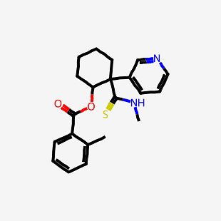 CNC(=S)C1(c2cccnc2)CCCCC1OC(=O)c1ccccc1C